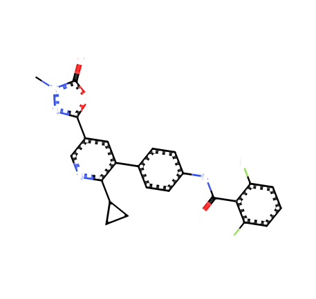 Cn1nc(-c2cnc(C3CC3)c(-c3ccc(NC(=O)c4c(F)cccc4F)cc3)c2)oc1=O